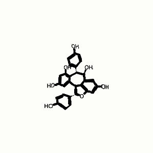 Oc1ccc([C@H]2c3c(O)cc(O)cc3[C@H]3c4c(cc(O)cc4[C@@H]2O)O[C@@H]3c2ccc(O)cc2)cc1